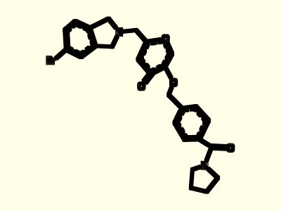 O=C(c1ccc(COc2coc(CN3Cc4ccc(Br)cc4C3)cc2=O)cc1)N1CCCC1